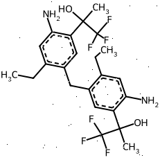 CCc1cc(N)c(C(C)(O)C(F)(F)F)cc1Cc1cc(C(C)(O)C(F)(F)F)c(N)cc1CC